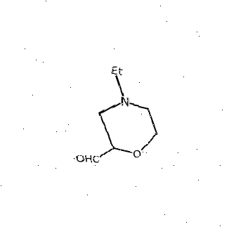 CCN1CCOC([C]=O)C1